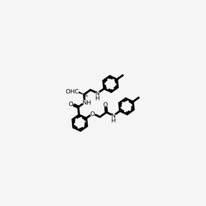 Cc1ccc(NC[C@H](C=O)NC(=O)c2ccccc2OCC(=O)Nc2ccc(C)cc2)cc1